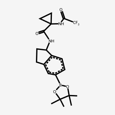 CC1(C)OB(c2ccc3c(c2)CCC3NC(=O)C2(NC(=O)C(F)(F)F)CC2)OC1(C)C